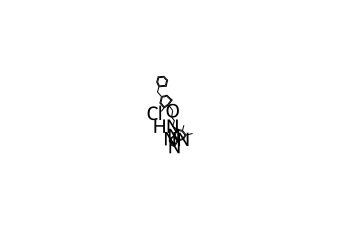 Cc1nc2ncnn2c(NCCOc2ccc(Cc3ccccc3)cc2Cl)c1C